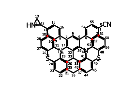 N#Cc1ccc(-c2cc(-c3ccc(C4CN4)cc3)c(N3c4ccccc4Sc4ccccc43)c(C3CCCCC3)c2N2c3ccccc3Sc3ccccc32)cc1